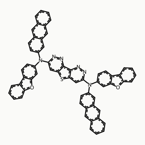 c1ccc2cc3cc(N(c4ccc5c(c4)oc4ccccc45)c4cc5sc6cc(N(c7ccc8cc9ccccc9cc8c7)c7ccc8c(c7)oc7ccccc78)nnc6c5nn4)ccc3cc2c1